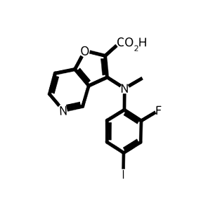 CN(c1ccc(I)cc1F)c1c(C(=O)O)oc2ccncc12